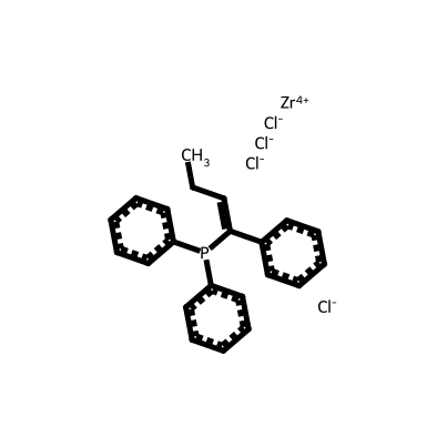 CCC=C(c1ccccc1)P(c1ccccc1)c1ccccc1.[Cl-].[Cl-].[Cl-].[Cl-].[Zr+4]